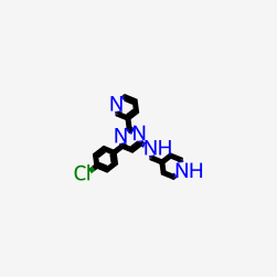 Clc1ccc(-c2cc(NCC3CCNCC3)nc(-c3cccnc3)n2)cc1